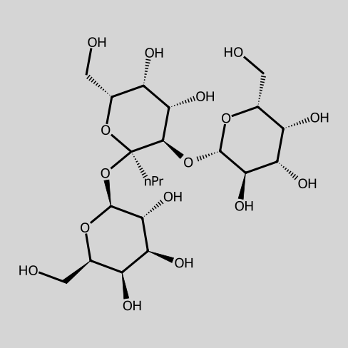 CCC[C@]1(O[C@@H]2O[C@H](CO)[C@H](O)[C@H](O)[C@H]2O)O[C@H](CO)[C@H](O)[C@H](O)[C@H]1O[C@@H]1O[C@H](CO)[C@H](O)[C@H](O)[C@H]1O